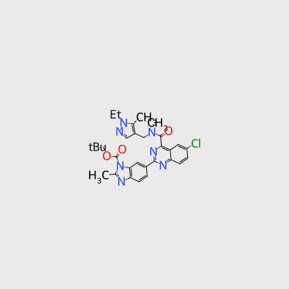 CCn1ncc(CN(C)C(=O)c2nc(-c3ccc4nc(C)n(C(=O)OC(C)(C)C)c4c3)nc3ccc(Cl)cc23)c1C